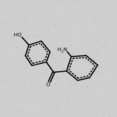 Nc1ccccc1C(=O)c1ccc(O)cc1